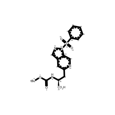 CC(C)(C)OC(=O)N[C@@H](Cc1cc2cnn(S(=O)(=O)c3ccccc3)c2cn1)C(=O)O